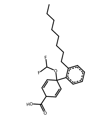 CCCCCCCCc1ccccc1C1(OC(F)F)C=CC(C(=O)O)C=C1